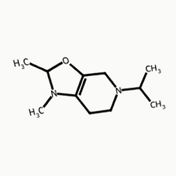 CC(C)N1CCC2=C(C1)OC(C)N2C